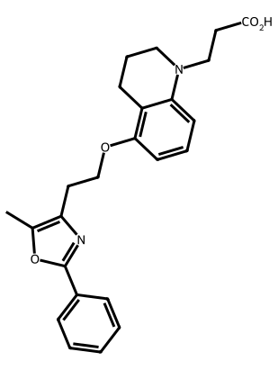 Cc1oc(-c2ccccc2)nc1CCOc1cccc2c1CCCN2CCC(=O)O